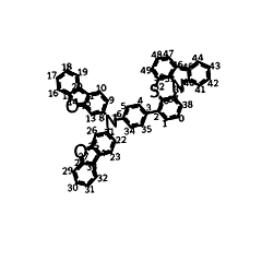 c1cc(-c2ccc(N(c3ccc4c(c3)oc3ccccc34)c3ccc4c(c3)oc3ccccc34)cc2)c2c(c1)-n1c3ccccc3c3cccc(c31)S2